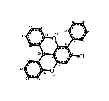 Clc1cc2c3c(c1-c1ccccc1)Oc1ccccc1B3c1ccccc1O2